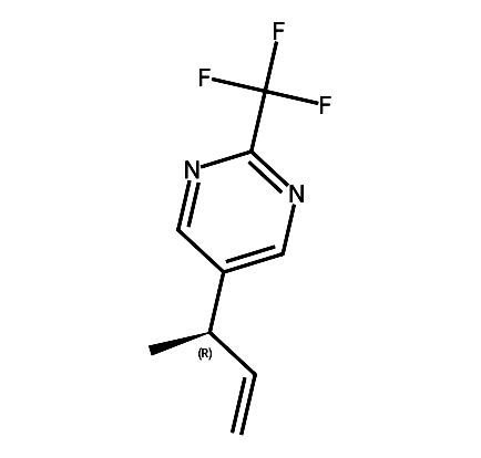 C=C[C@@H](C)c1cnc(C(F)(F)F)nc1